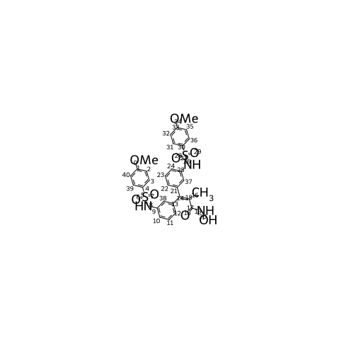 COc1ccc(S(=O)(=O)Nc2cccc(C(=C(C)C(=O)NO)c3cccc(NS(=O)(=O)c4ccc(OC)cc4)c3)c2)cc1